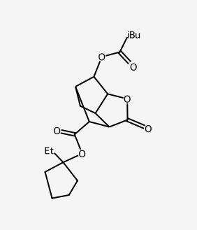 CCC(C)C(=O)OC1C2CC3C1OC(=O)C3C2C(=O)OC1(CC)CCCC1